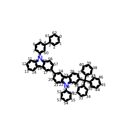 c1ccc(-c2cccc(-n3c4ccccc4c4cc(-c5ccc6c(c5)c5ccc(C(c7ccccc7)(c7ccccc7)c7ccccc7)cc5n6-c5ccccc5)ccc43)c2)cc1